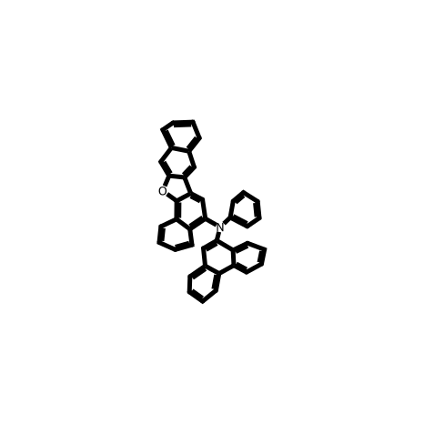 c1ccc(N(c2cc3ccccc3c3ccccc23)c2cc3c4cc5ccccc5cc4oc3c3ccccc23)cc1